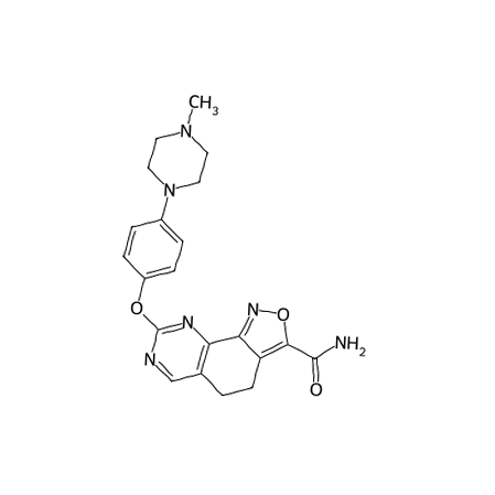 CN1CCN(c2ccc(Oc3ncc4c(n3)-c3noc(C(N)=O)c3CC4)cc2)CC1